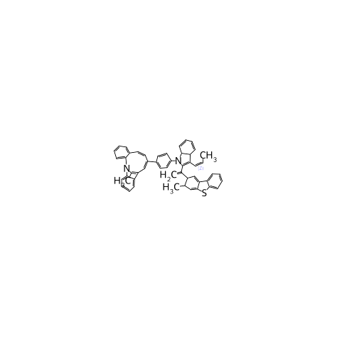 C=C(C1=C(/C=C\C)C2C=CC=CC2N1c1ccc(-c2ccc3ccccc3n3c(C)c(c2)c2ccccc23)cc1)C1C=c2c(sc3ccccc23)=CC1C